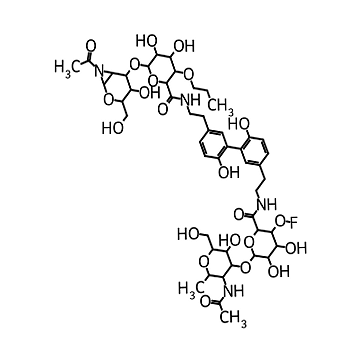 CCCOC1C(C(=O)NCCc2ccc(O)c(-c3cc(CCNC(=O)C4OC(OC5C(O)C(CO)OC(C)C5NC(C)=O)C(O)C(O)C4OF)ccc3O)c2)OC(OC2C(O)C(CO)OC3C2N3C(C)=O)C(O)C1O